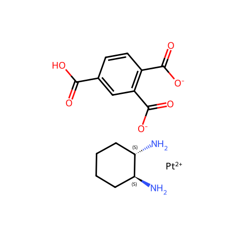 N[C@H]1CCCC[C@@H]1N.O=C(O)c1ccc(C(=O)[O-])c(C(=O)[O-])c1.[Pt+2]